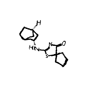 O=C1N=C(N[C@H]2C[C@@H]3CCC2C3)SC12CCCC2